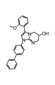 COc1ccccc1C1=CN(c2ccc(-c3ccccc3)cc2)C2=NCC(O)CN12